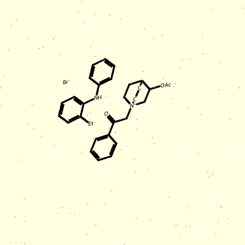 CC(=O)OC1C[N+]2(CC(=O)c3ccccc3)CCC1CC2.CCc1ccccc1Nc1ccccc1.[Br-]